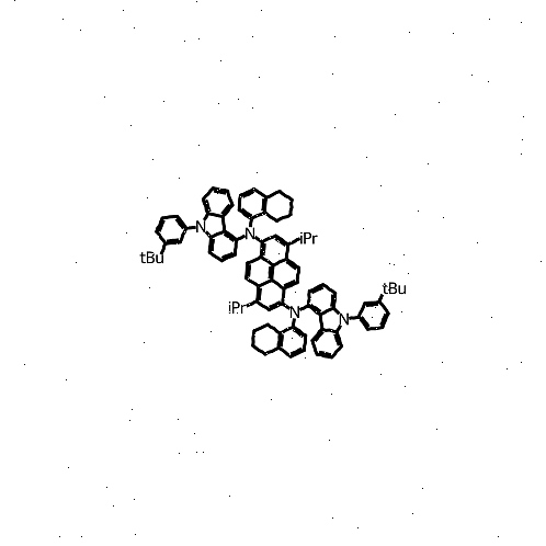 CC(C)c1cc(N(c2cccc3c2CCCC3)c2cccc3c2c2ccccc2n3-c2cccc(C(C)(C)C)c2)c2ccc3c(C(C)C)cc(N(c4cccc5c4CCCC5)c4cccc5c4c4ccccc4n5-c4cccc(C(C)(C)C)c4)c4ccc1c2c34